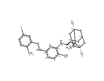 Cc1ccc(I)cc1CNc1ncc(C#N)c(NC[C@]23CC4C[C@H](C2)[C@@H](N)[C@@H](C4)C3)n1